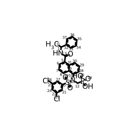 CC(NC(=O)c1cccc2c(N(CP(=O)(O)O)S(=O)(=O)c3cc(Cl)cc(Cl)c3)cccc12)c1ccccc1